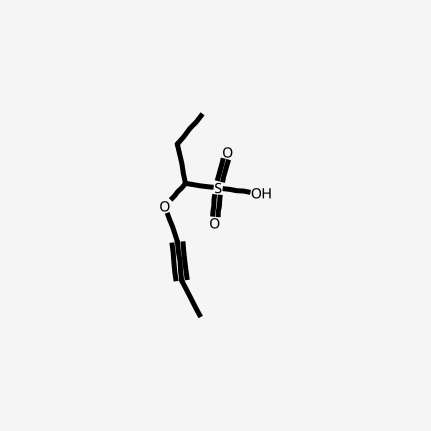 CC#COC(CC)S(=O)(=O)O